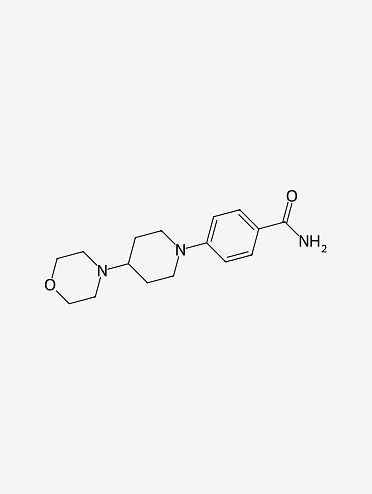 NC(=O)c1ccc(N2CCC(N3CCOCC3)CC2)cc1